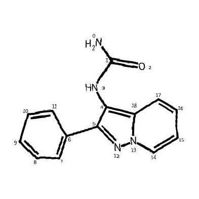 NC(=O)Nc1c(-c2ccccc2)nn2ccccc12